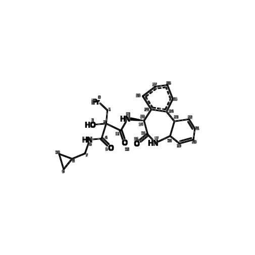 CC(C)CC(O)(C(=O)NCC1CC1)C(=O)N[C@@H]1C(=O)NC2C=CC=CC2c2ccccc21